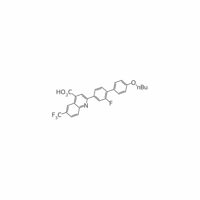 CCCCOc1ccc(-c2ccc(-c3cc(C(=O)O)c4cc(C(F)(F)F)ccc4n3)cc2F)cc1